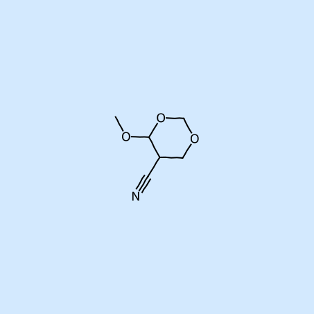 COC1OCOCC1C#N